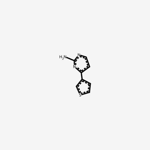 Nc1nccc(-c2ccsc2)n1